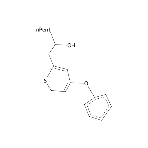 CCCCCC(O)CC1=CC(Oc2ccccc2)=CCS1